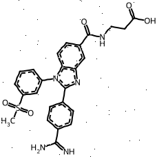 CS(=O)(=O)c1cccc(-n2c(-c3ccc(C(=N)N)cc3)nc3cc(C(=O)NCCC(=O)O)ccc32)c1